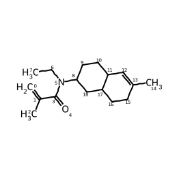 C=C(C)C(=O)N(CC)C1CCC2C=C(C)CCC2C1